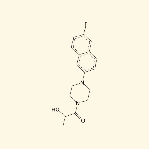 CC(O)C(=O)N1CCN(c2ccc3cc(F)ccc3c2)CC1